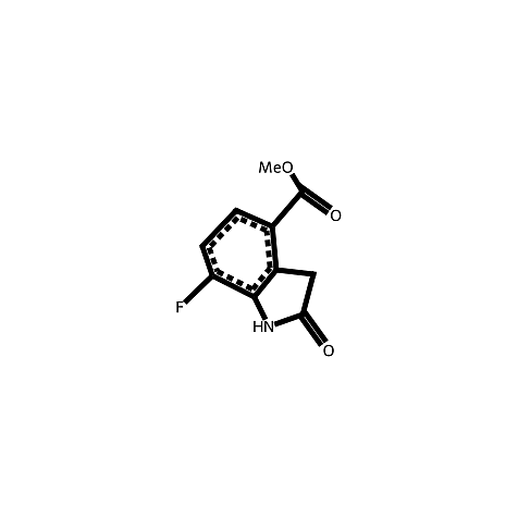 COC(=O)c1ccc(F)c2c1CC(=O)N2